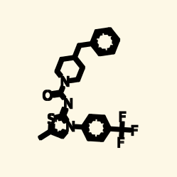 Cc1cn(-c2ccc(C(F)(F)F)cc2)/c(=N/C(=O)N2CCC(Cc3ccccc3)CC2)s1